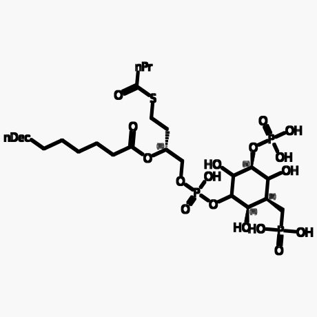 CCCCCCCCCCCCCCCC(=O)O[C@H](CCSC(=O)CCC)COP(=O)(O)OC1C(O)[C@@H](OP(=O)(O)O)C(O)[C@@H](CP(=O)(O)O)[C@H]1O